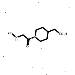 CC(C)NCC(=O)N1CCC(CC(=O)O)CC1